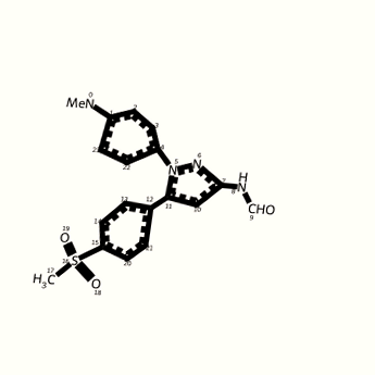 CNc1ccc(-n2nc(NC=O)cc2-c2ccc(S(C)(=O)=O)cc2)cc1